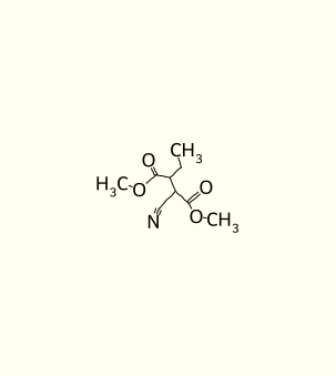 CCC(C(=O)OC)C(C#N)C(=O)OC